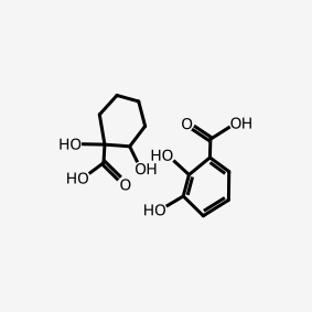 O=C(O)C1(O)CCCCC1O.O=C(O)c1cccc(O)c1O